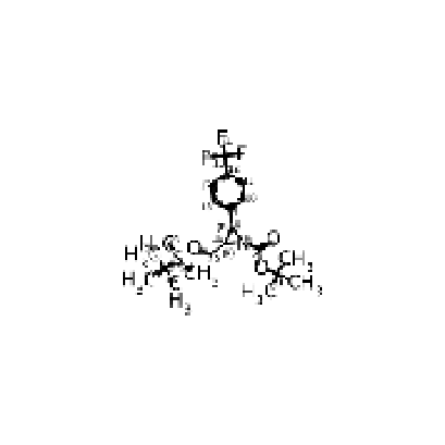 CC(C)(C)OC(=O)N1[C@H](c2ccc(C(F)(F)F)cc2)[C@@H]1CO[Si](C)(C)C(C)(C)C